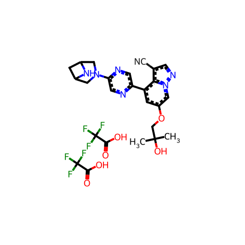 CC(C)(O)COc1cc(-c2cnc(N3CC4CC(C3)N4)cn2)c2c(C#N)cnn2c1.O=C(O)C(F)(F)F.O=C(O)C(F)(F)F